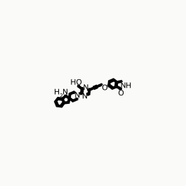 NC1c2ccccc2CC12CCN(c1ncc(C#CCOc3ccc4c(c3)C(=O)NC4)nc1CO)CC2